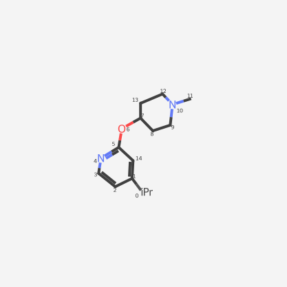 CC(C)c1ccnc(OC2CCN(C)CC2)c1